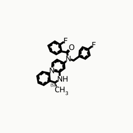 C[C@H](Nc1cc(N(Cc2ccc(F)cc2)C(=O)c2ccccc2F)ccn1)c1ccccc1